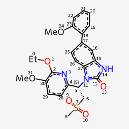 CCOc1nc([C@@H](CS(C)(=O)=O)n2c(=O)[nH]c3cc(-c4ccccc4OC)ccc32)ccc1OC